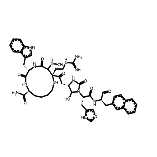 CNC1C(=O)N[C@@H](Cc2c[nH]c3ccccc23)C(=O)N[C@H](C(N)=O)CCCCN[C@@]1(CCNC(=N)N)C(=O)C[C@@H]1NC(=O)N([C@@H](Cc2cnc[nH]2)C(=O)N[C@@H](C=O)Cc2ccc3ccccc3c2)C1O